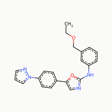 CCOCc1cccc(Nc2ncc(-c3ccc(-n4cccn4)cc3)o2)c1